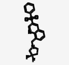 O=S(=O)(c1ccccc1)c1cnc2c(CN3CCC(F)(F)C3)cccc2c1